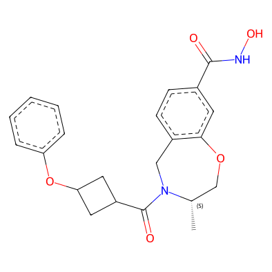 C[C@H]1COc2cc(C(=O)NO)ccc2CN1C(=O)C1CC(Oc2ccccc2)C1